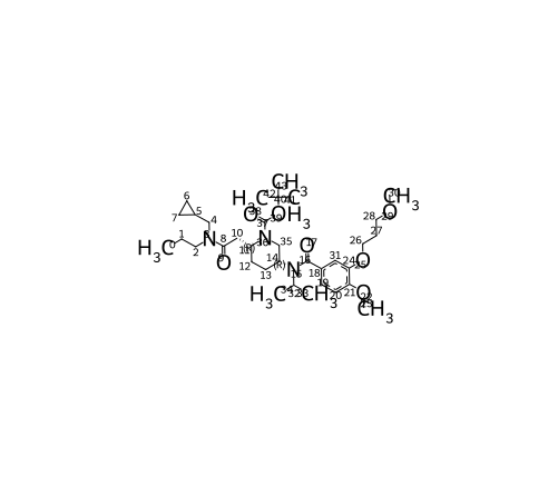 CCCN(CC1CC1)C(=O)C[C@H]1CC[C@@H](N(C(=O)c2ccc(OC)c(OCCCOC)c2)C(C)C)CN1C(=O)OC(C)(C)C